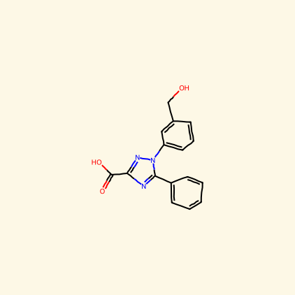 O=C(O)c1nc(-c2ccccc2)n(-c2cccc(CO)c2)n1